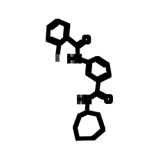 O=C(NC1CCCCCC1)c1cccc(NC(=O)c2ccccc2I)c1